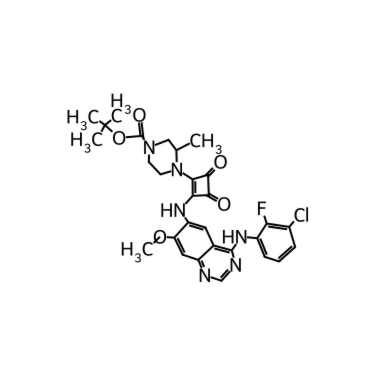 COc1cc2ncnc(Nc3cccc(Cl)c3F)c2cc1Nc1c(N2CCN(C(=O)OC(C)(C)C)CC2C)c(=O)c1=O